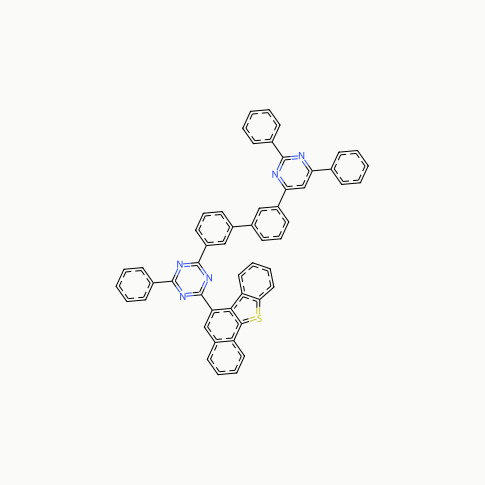 c1ccc(-c2cc(-c3cccc(-c4cccc(-c5nc(-c6ccccc6)nc(-c6cc7ccccc7c7sc8ccccc8c67)n5)c4)c3)nc(-c3ccccc3)n2)cc1